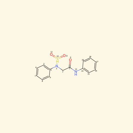 O=C(CN(c1ccccc1)[SH](=O)=O)Nc1ccccc1